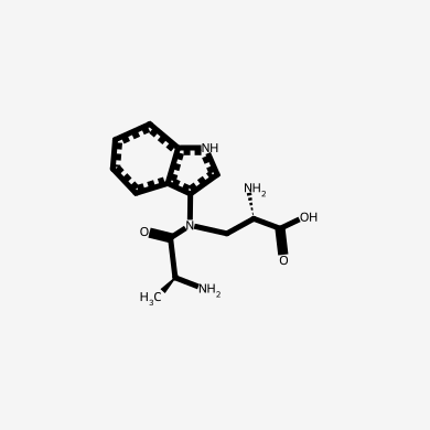 C[C@H](N)C(=O)N(C[C@H](N)C(=O)O)c1c[nH]c2ccccc12